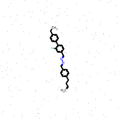 C=CCCc1ccc(C=NN=Cc2ccc(-c3ccc(CC)cc3)c(F)c2)cc1